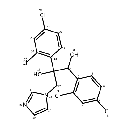 OC(c1ccc(Cl)cc1Cl)C(O)(Cn1ccnc1)c1ccc(Cl)cc1Cl